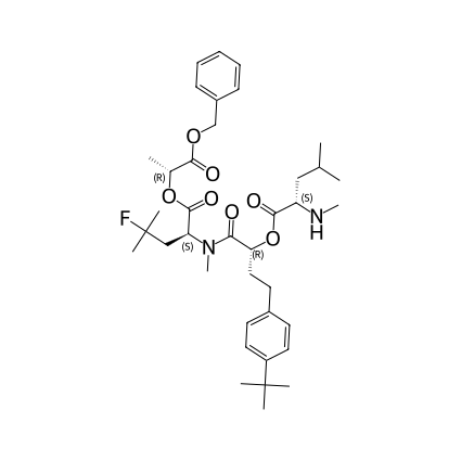 CN[C@@H](CC(C)C)C(=O)O[C@H](CCc1ccc(C(C)(C)C)cc1)C(=O)N(C)[C@@H](CC(C)(C)F)C(=O)O[C@H](C)C(=O)OCc1ccccc1